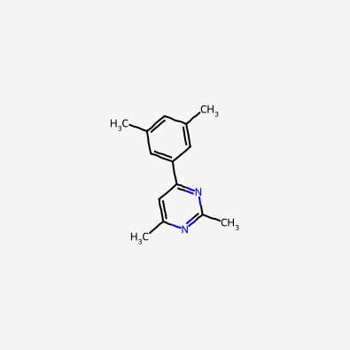 Cc1cc(C)cc(-c2cc(C)nc(C)n2)c1